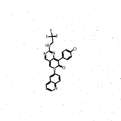 O=c1c(-c2ccc(Cl)cc2)c2nc(NCC(F)(F)F)ncc2cn1-c1ccc2ncccc2c1